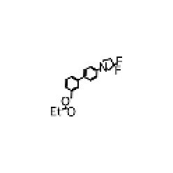 CCC(=O)OCc1cccc(-c2ccc(N3CCC(F)(F)C3)cc2)c1